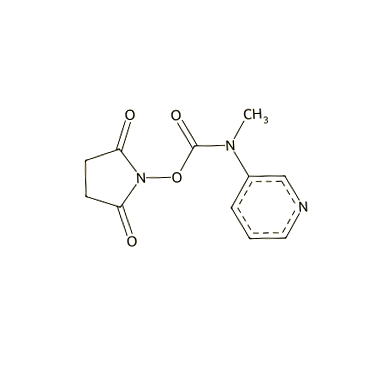 CN(C(=O)ON1C(=O)CCC1=O)c1cccnc1